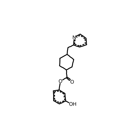 O=C(Oc1cccc(O)c1)C1CCC(Cc2ccccn2)CC1